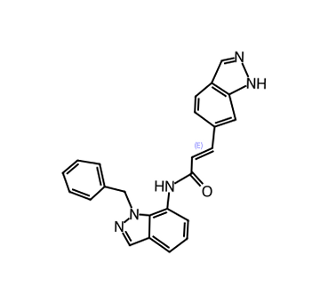 O=C(/C=C/c1ccc2cn[nH]c2c1)Nc1cccc2cnn(Cc3ccccc3)c12